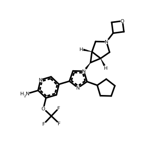 Nc1ncc(-c2cn([C@H]3[C@@H]4CN(C5COC5)C[C@@H]43)c(C3CCCC3)n2)cc1OC(F)(F)F